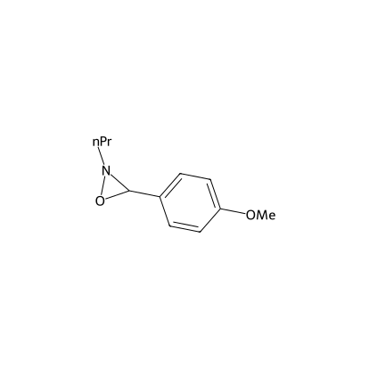 CCCN1OC1c1ccc(OC)cc1